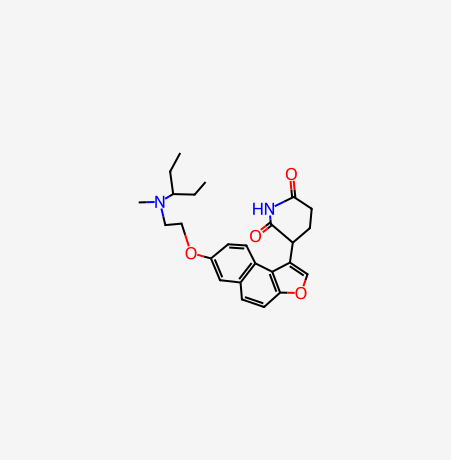 CCC(CC)N(C)CCOc1ccc2c(ccc3occ(C4CCC(=O)NC4=O)c32)c1